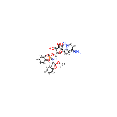 CC(C)OC(=O)[C@H](Cc1ccccc1)NP(=O)(OC[C@H]1O[C@@](C#N)(c2ccc3c(N)ccnn23)[C@H](O)[C@@H]1O)Oc1ccccc1